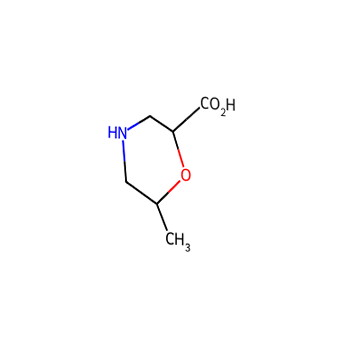 CC1CNCC(C(=O)O)O1